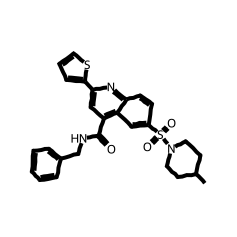 CC1CCN(S(=O)(=O)c2ccc3nc(-c4cccs4)cc(C(=O)NCc4ccccc4)c3c2)CC1